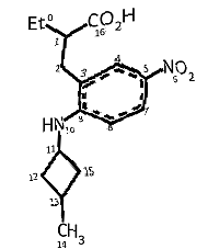 CCC(Cc1cc([N+](=O)[O-])ccc1NC1CC(C)C1)C(=O)O